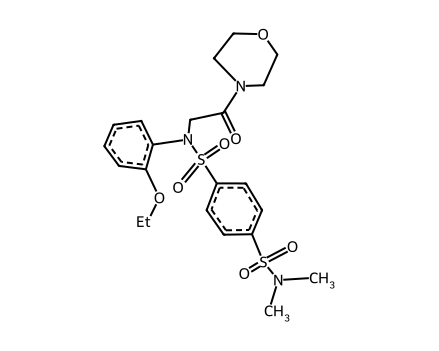 CCOc1ccccc1N(CC(=O)N1CCOCC1)S(=O)(=O)c1ccc(S(=O)(=O)N(C)C)cc1